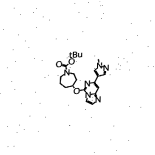 Cn1cc(-c2cc3nccn3c(O[C@H]3CCCN(C(=O)OC(C)(C)C)CC3)n2)cn1